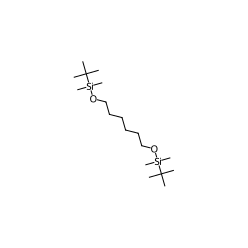 CC(C)(C)[Si](C)(C)OCCCCCCO[Si](C)(C)C(C)(C)C